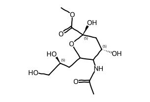 COC(=O)[C@]1(O)C[C@H](O)C(NC(C)=O)C(C[C@H](O)CO)O1